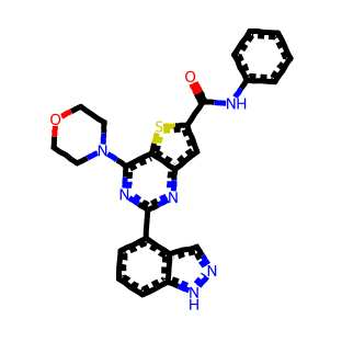 O=C(Nc1ccccc1)c1cc2nc(-c3cccc4[nH]ncc34)nc(N3CCOCC3)c2s1